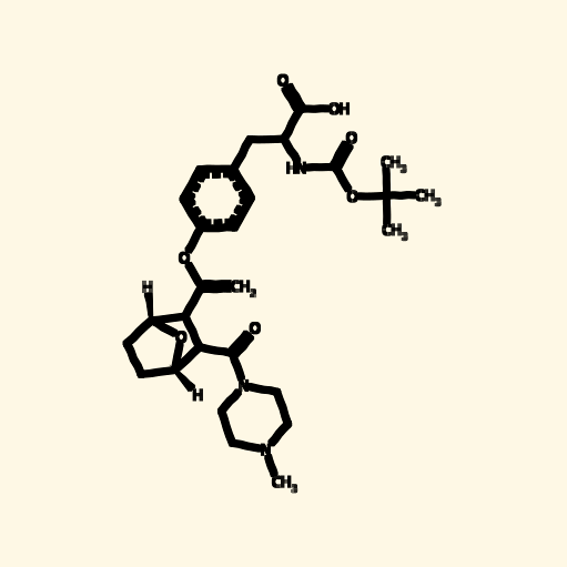 C=C(Oc1ccc(CC(NC(=O)OC(C)(C)C)C(=O)O)cc1)C1C(C(=O)N2CCN(C)CC2)[C@@H]2CC[C@H]1O2